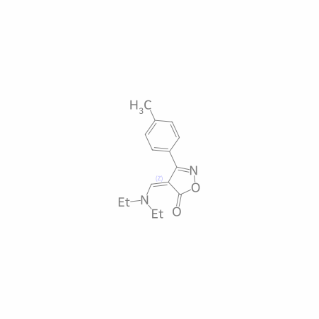 CCN(/C=C1\C(=O)ON=C1c1ccc(C)cc1)CC